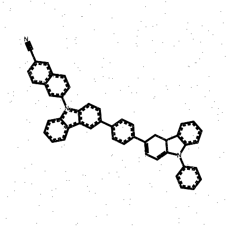 N#Cc1ccc2cc(-n3c4ccccc4c4cc(-c5ccc(C6=CC=C7C(C6)c6ccccc6N7c6ccccc6)cc5)ccc43)ccc2c1